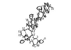 COc1ccc(CN2C(=O)c3cccc4c(-n5ncc(C(=O)Nc6cnc(-n7cnc(C)n7)c(Cl)c6)c5C(F)(F)F)ccc2c34)cc1